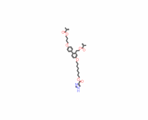 C=C(C)C(=O)OCCCCOc1ccc(-c2ccc(OCCCCCCCCOC(=O)c3c[nH]cn3)cc2CCOC(=O)C(=C)C)cc1